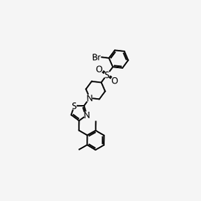 Cc1cccc(C)c1Cc1csc(N2CCC(S(=O)(=O)c3ccccc3Br)CC2)n1